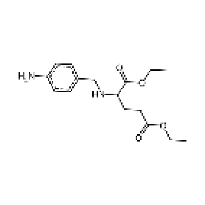 CCOC(=O)CCC(NCc1ccc(N)cc1)C(=O)OCC